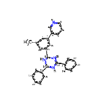 Cc1cc(-c2cccnc2)cc(-c2nc(-c3ccccc3)nc(-c3ccccc3)n2)c1